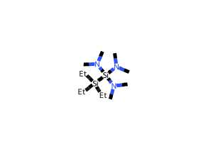 CC[Si](CC)(CC)[Si](N(C)C)(N(C)C)N(C)C